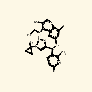 Cc1nc(F)ccc1[C@H](Nc1cc(Cl)c2ncc(C#N)c(NCC(C)(C)C)c2c1)C1=CN(C2(C(F)(F)F)CC2)NN1